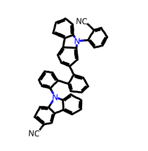 N#Cc1ccc2c(c1)c1ccccc1n2-c1ccccc1-c1ccccc1-c1ccc2c3ccccc3n(-c3ccccc3C#N)c2c1